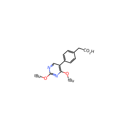 CC(C)(C)Oc1ncc(-c2ccc(CC(=O)O)cc2)c(OC(C)(C)C)n1